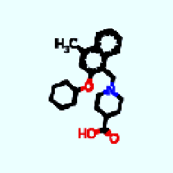 Cc1cc(OC2CCCCC2)c(CN2CCC(C(=O)O)CC2)c2ccccc12